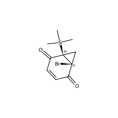 C[Si](C)(C)[C@@]12C[C@]1(Br)C(=O)C=CC2=O